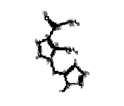 Cn1nnnc1Cn1nnc(C(N)=O)c1N